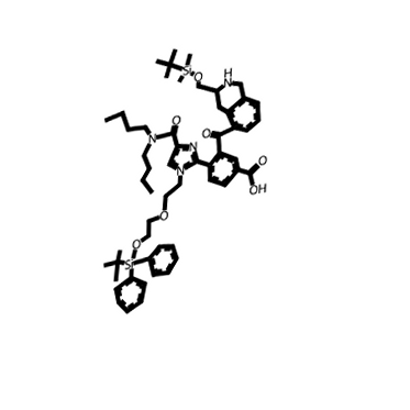 CCCCN(CCCC)C(=O)c1cn(CCOCCO[Si](c2ccccc2)(c2ccccc2)C(C)(C)C)c(-c2ccc(C(=O)O)cc2C(=O)c2cccc3c2CC(CO[Si](C)(C)C(C)(C)C)NC3)n1